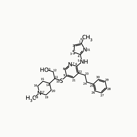 Cc1csc(Nc2ncc(SC(CO)C3CCN(C)CC3)cc2CCc2ccccc2)n1